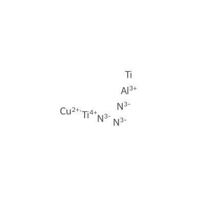 [Al+3].[Cu+2].[N-3].[N-3].[N-3].[Ti+4].[Ti]